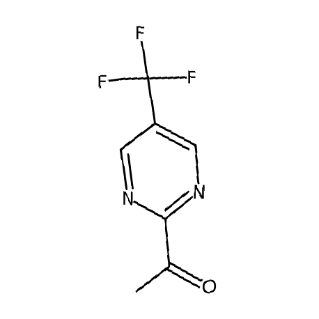 CC(=O)c1ncc(C(F)(F)F)cn1